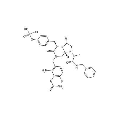 C=C(N)Sc1c(F)ccc(CN2C[C@@H]3N(C(=O)CN3N(C)C(=O)NCc3ccccc3)[C@H](Cc3ccc(OP(=O)(O)O)cc3)C2=O)c1N